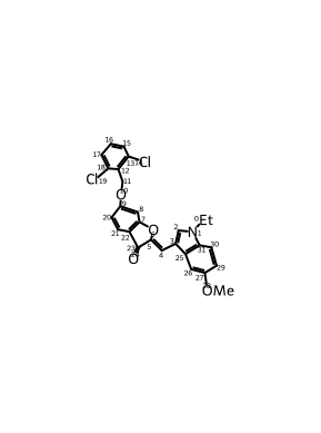 CCn1cc(/C=C2\Oc3cc(OCc4c(Cl)cccc4Cl)ccc3C2=O)c2cc(OC)ccc21